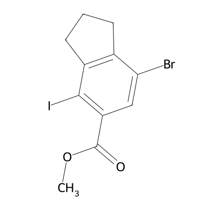 COC(=O)c1cc(Br)c2c(c1I)CCC2